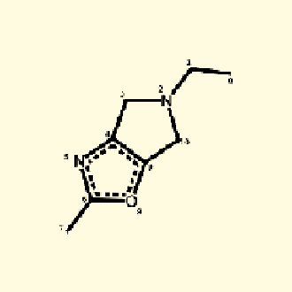 CCN1Cc2nc(C)oc2C1